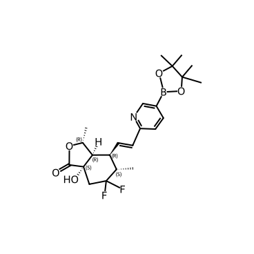 C[C@H]1OC(=O)[C@]2(O)CC(F)(F)[C@@H](C)[C@H](C=Cc3ccc(B4OC(C)(C)C(C)(C)O4)cn3)[C@H]12